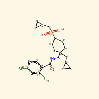 O=C(NCC1(CC2CC2)CCC(S(=O)(=O)CC2CC2)CC1)c1ccc(Cl)cc1F